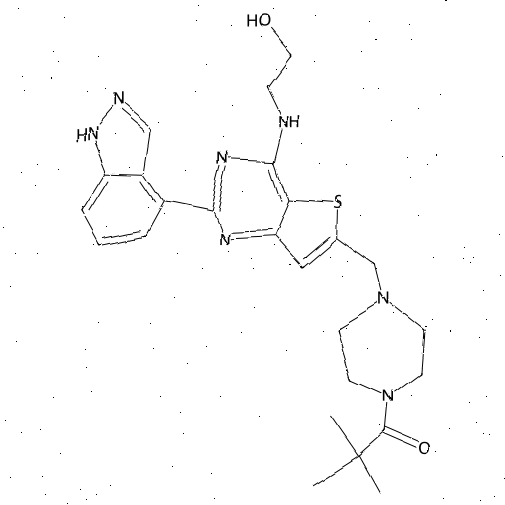 CC(C)(C)C(=O)N1CCN(Cc2cc3nc(-c4cccc5[nH]ncc45)nc(NCCO)c3s2)CC1